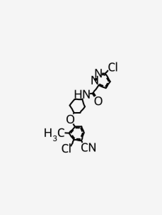 Cc1c(O[C@H]2CC[C@H](NC(=O)c3ccc(Cl)nn3)CC2)ccc(C#N)c1Cl